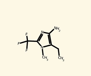 CCc1c(N)nc(C(F)(F)F)n1C